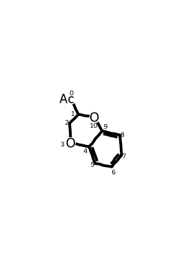 CC(=O)C1COc2ccccc2O1